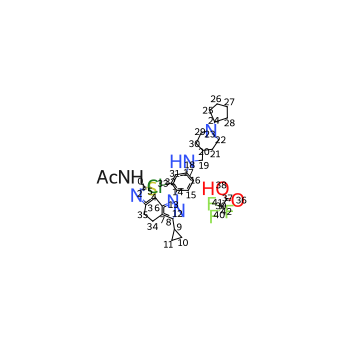 CC(=O)Nc1nc2c(s1)-c1c(c(C3CC3)nn1-c1ccc(NCC3CCN(C4CCCC4)CC3)cc1Cl)CC2.O=C(O)C(F)(F)F